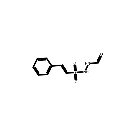 O=CNNS(=O)(=O)/C=C/c1ccccc1